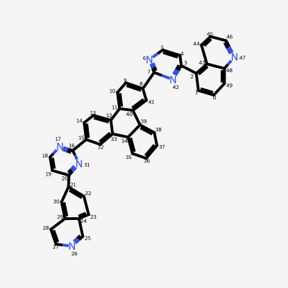 c1cc(-c2ccnc(-c3ccc4c5ccc(-c6nccc(-c7ccc8cnccc8c7)n6)cc5c5ccccc5c4c3)n2)c2cccnc2c1